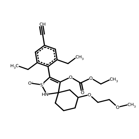 C#Cc1cc(CC)c(C2=C(OC(=O)OCC)C3(CCCC(OCCOC)C3)N[S+]2[O-])c(CC)c1